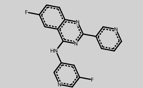 Fc1cncc(Nc2nc(-c3cccnc3)nc3ccc(F)cc23)c1